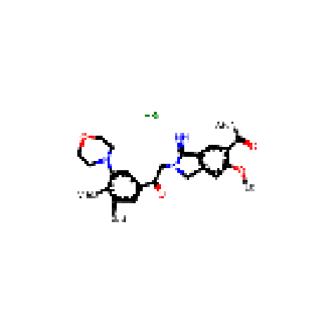 Br.CCOc1cc2c(cc1C(=O)NC)C(=N)N(CC(=O)c1cc(N3CCOCC3)c(OC)c(C(C)(C)C)c1)C2